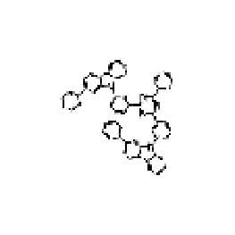 c1ccc(-c2ccc3c4ccccc4n(-c4cccc(-c5nc(-c6ccccc6)nc(-c6cccc(-n7c8ccccc8c8ccc(-c9ccccc9)cc87)c6)n5)c4)c3c2)cc1